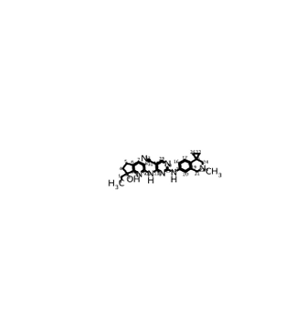 CCC1(O)CCc2ccc(Nc3nc(Nc4ccc5c(c4)CN(C)CC54CC4)ncc3C#N)nc21